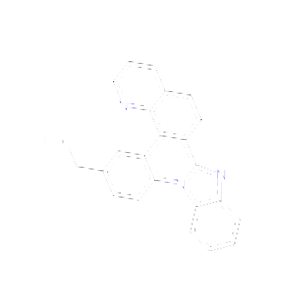 CCc1ccc2c(c1)c1c(ccc3cccnc31)c1nc3ccccc3n21